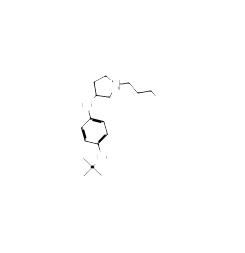 CC(C)(C)Oc1ccc(OC2CCN(CCCF)C2)cc1